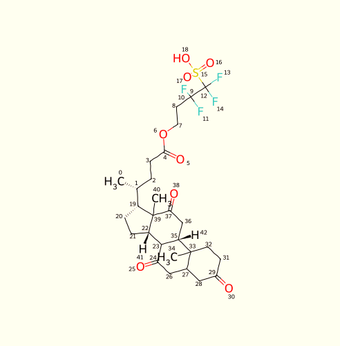 C[C@H](CCC(=O)OCCC(F)(F)C(F)(F)S(=O)(=O)O)[C@H]1CC[C@H]2C3C(=O)CC4CC(=O)CCC4(C)[C@H]3CC(=O)C12C